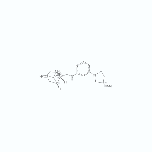 CN[C@H]1CCN(c2ccnc(NC[C@H]3CC[C@H]4C[C@@H]3C4(C)C)c2)C1